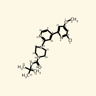 COc1cc(Cl)nc(-c2ccnc(N3CCN(C(=O)OC(C)(C)C)CC3)c2)c1